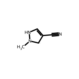 CN1[CH]C(C#N)=CN1